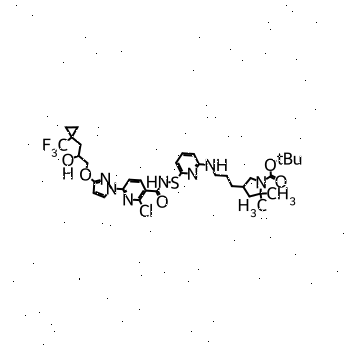 CC(C)(C)OC(=O)N1CC(CCCNc2cccc(SNC(=O)c3ccc(-n4ccc(OCC(O)CC5(C(F)(F)F)CC5)n4)nc3Cl)n2)CC1(C)C